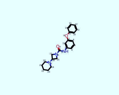 O=C(Nc1cccc(Oc2ccccc2)c1)N1CC(N2CCCCC2)C1